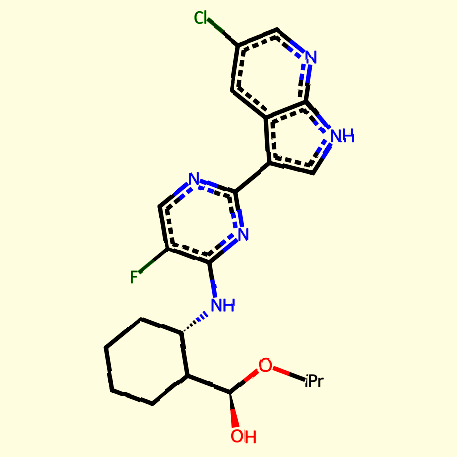 CC(C)O[C@@H](O)C1CCCC[C@@H]1Nc1nc(-c2c[nH]c3ncc(Cl)cc23)ncc1F